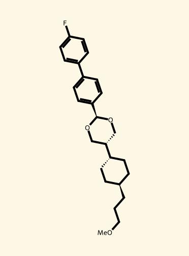 COCCC[C@H]1CC[C@H]([C@H]2CO[C@H](c3ccc(-c4ccc(F)cc4)cc3)OC2)CC1